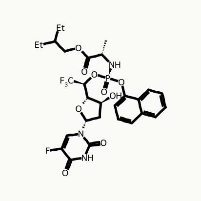 CCC(CC)COC(=O)[C@H](C)N[P@](=O)(Oc1cccc2ccccc12)O[C@@H]([C@H]1O[C@@H](n2cc(F)c(=O)[nH]c2=O)C[C@@H]1O)C(F)(F)F